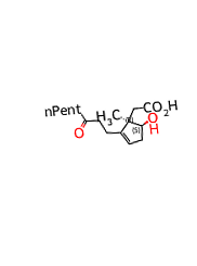 CCCCCC(=O)CCC1=CC[C@H](O)[C@]1(C)CC(=O)O